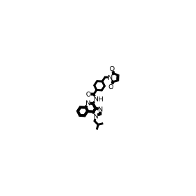 CC(C)Cn1cnc2c(NC(=O)C3CCC(CN4C(=O)C=CC4=O)CC3)nc3ccccc3c21